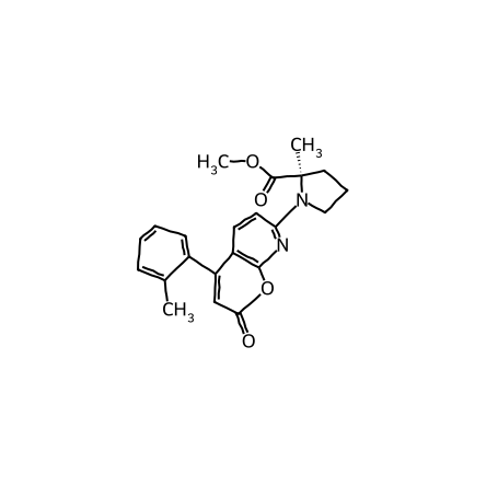 COC(=O)[C@@]1(C)CCCN1c1ccc2c(-c3ccccc3C)cc(=O)oc2n1